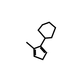 CC1=CC[C]=C1C1CCCCC1